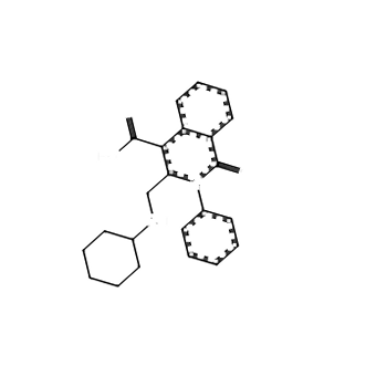 O=C(O)c1c(CNC2CCCCC2)n(-c2ccccc2)c(=O)c2ccccc12